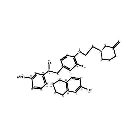 C=C1CCCN(CCOc2ccc(CN(CC)c3cc(OC)ccc3[C@H]3CCc4cc(O)ccc4C3)cc2F)C1